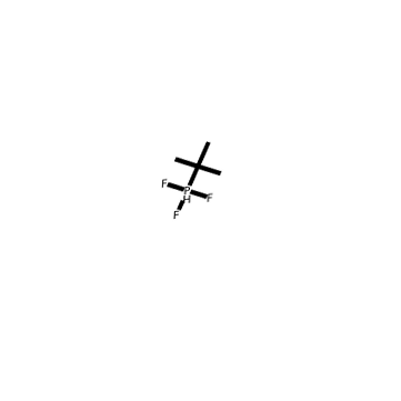 CC(C)(C)[PH](F)(F)F